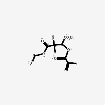 C=C(C)C(=O)OC(C(=O)OCC)C(F)(F)C(=O)OCC(F)(F)F